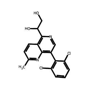 Cc1ccc2c(C(O)CO)ncc(-c3c(Cl)cccc3Cl)c2n1